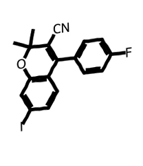 CC1(C)Oc2cc(I)ccc2C(c2ccc(F)cc2)=C1C#N